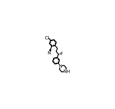 N#Cc1cc(Cl)ccc1CC[C@@H](F)c1cccc(N2CCNCC2)c1